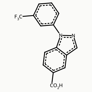 O=C(O)c1ccc2c(cnn2-c2cccc(C(F)(F)F)c2)c1